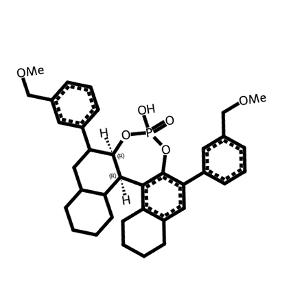 COCc1cccc(-c2cc3c(c4c2OP(=O)(O)O[C@@H]2C(c5cccc(COC)c5)CC5CCCCC5[C@H]42)CCCC3)c1